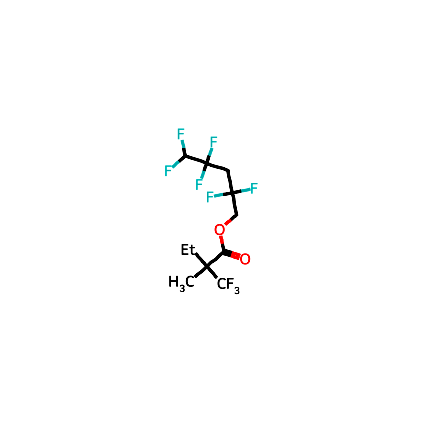 CCC(C)(C(=O)OCC(F)(F)CC(F)(F)C(F)F)C(F)(F)F